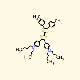 CCCCN(CCCC)c1ccc(C2=C(c3ccc(N(CCCC)CCCC)cc3)SC(=C3SC(c4ccc(C)cc4)=C(c4ccc(C)cc4)S3)S2)cc1